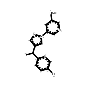 COc1cncc(-n2cc(C(C)c3ccc(Cl)cn3)cn2)c1